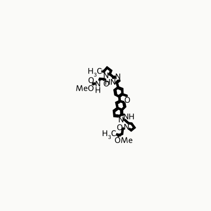 COC(=O)NCC(=O)N1C(c2ncc(-c3ccc4c(c3)COc3cc5c(ccc6nc(C7CCCN7C(=O)C[C@H](C)OC)[nH]c65)cc3-4)[nH]2)CC[C@@H]1C